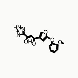 COc1ccccc1Oc1cc(C(=O)C=C(O)c2nc[nH]n2)co1